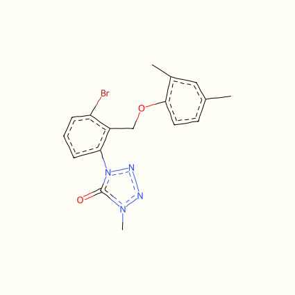 Cc1ccc(OCc2c(Br)cccc2-n2nnn(C)c2=O)c(C)c1